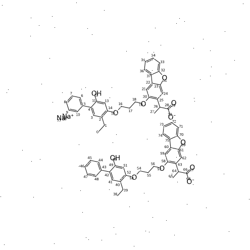 CCc1cc(-c2ccccc2)c(O)cc1OCCCOc1cc2c(cc1C(C)C(=O)[O-])oc1ccccc12.CCc1cc(-c2ccccc2)c(O)cc1OCCCOc1cc2c(cc1C(C)C(=O)[O-])oc1ccccc12.[Na+].[Na+]